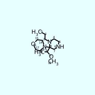 CCCN1CCNCC1(C(C)OC)N1CCOCC1